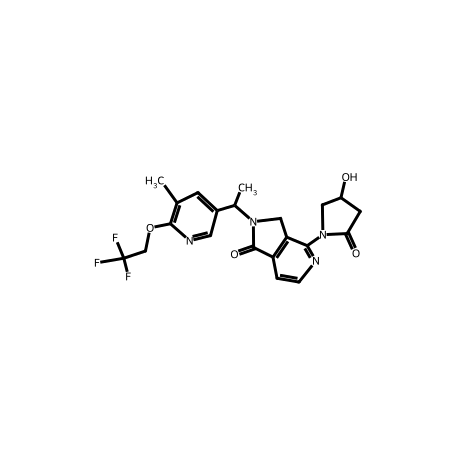 Cc1cc(C(C)N2Cc3c(ccnc3N3CC(O)CC3=O)C2=O)cnc1OCC(F)(F)F